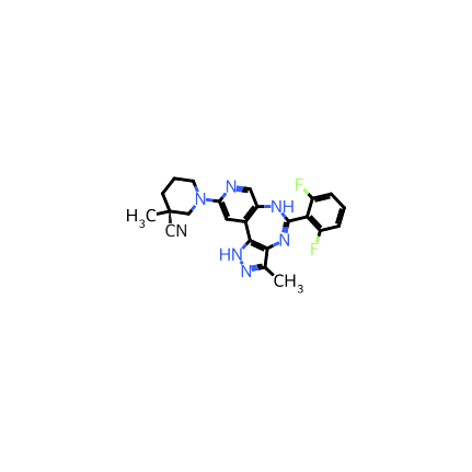 Cc1n[nH]c2c1N=C(c1c(F)cccc1F)Nc1cnc(N3CCC[C@](C)(C#N)C3)cc1-2